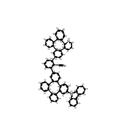 N#Cc1c(-c2ccc3c(c2)-c2ccccc2-c2ccccc2-c2cc(-n4c5ccccc5c5ccccc54)ccc2-3)cccc1-c1ccc2c(c1)-c1ccccc1-c1ccccc1-c1ncccc1-2